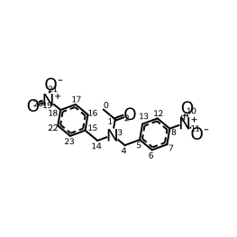 CC(=O)N(Cc1ccc([N+](=O)[O-])cc1)Cc1ccc([N+](=O)[O-])cc1